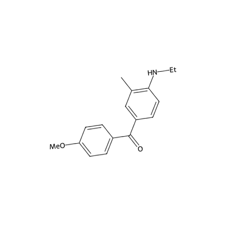 CCNc1ccc(C(=O)c2ccc(OC)cc2)cc1C